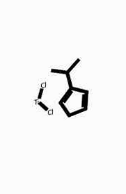 CC(C)C1=C[CH]C=C1.[Cl][Ti][Cl]